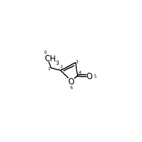 CCC1=CC(=O)O1